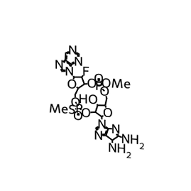 COP1(=O)OCC2OC(n3cnc4c3N=C(N)C4N)C(OP(=O)(SC)OCC3OC(n4cnc5cncnc54)C(F)C3O1)C2O